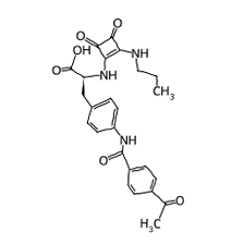 CCCNc1c(N[C@@H](Cc2ccc(NC(=O)c3ccc(C(C)=O)cc3)cc2)C(=O)O)c(=O)c1=O